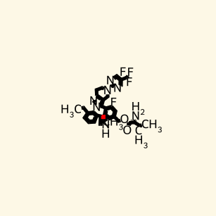 CCc1cccc(CC)c1-n1nc2c(c1-c1c(F)cc(COC(=O)[C@@H](N)C(C)C)c3[nH]ccc13)CN(c1ncc(C(F)(F)F)cn1)CC2